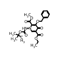 CCOC(=O)c1cn(NC(=O)OC(C)(C)C)c(C(=O)OC)c(OCc2ccccc2)c1=O